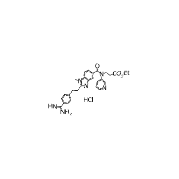 CCOC(=O)CCN(C(=O)c1ccc2c(c1)nc(CCc1ccc(C(=N)N)cc1)n2C)c1cccnc1.Cl